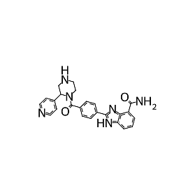 NC(=O)c1cccc2[nH]c(-c3ccc(C(=O)N4CCNCC4c4ccncc4)cc3)nc12